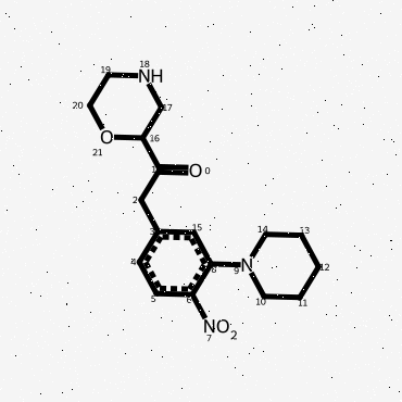 O=C(Cc1ccc([N+](=O)[O-])c(N2CCCCC2)c1)C1CNCCO1